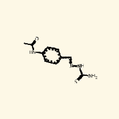 CC(=O)Nc1ccc(C=NNC(N)=S)cc1